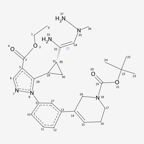 CCOC(=O)c1cnn(-c2cccc(C3=CCCN(C(=O)OC(C)(C)C)C3)c2)c1C1C[C@H]1/C(N)=C/N(C)N